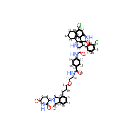 O=C1CCC(N2Cc3c(CCCOCCNC(=O)c4ccc(NC(=O)[C@@H]5NC(C6CCCCC6)[C@@]6(C(=O)Nc7cc(Cl)ccc76)[C@H]5c5cccc(Cl)c5F)cc4)cccc3C2=O)C(=O)N1